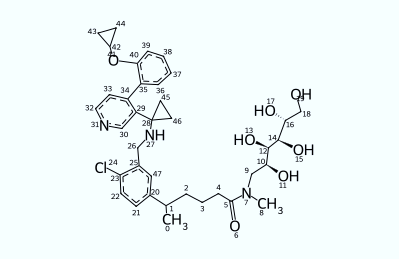 CC(CCCC(=O)N(C)C[C@H](O)[C@@H](O)[C@H](O)[C@H](O)CO)c1ccc(Cl)c(CNC2(c3cnccc3-c3ccccc3OC3CC3)CC2)c1